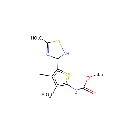 CCOC(=O)c1c(NC(=O)OC(C)(C)C)sc(C2N=C(C(=O)O)SN2)c1C